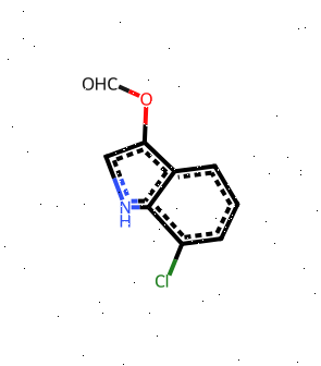 O=COc1c[nH]c2c(Cl)cccc12